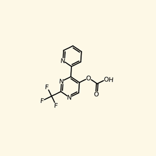 O=C(O)Oc1cnc(C(F)(F)F)nc1-c1ccccn1